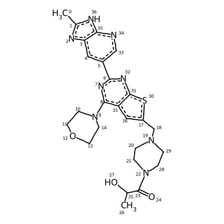 Cc1nc2cc(-c3nc(N4CCOCC4)c4cc(CN5CCN(C(=O)C(C)O)CC5)sc4n3)cnc2[nH]1